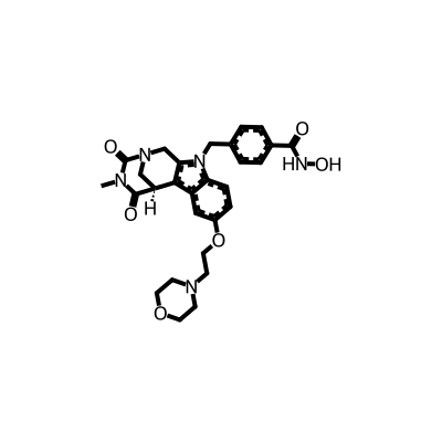 CN1C(=O)[C@H]2CN(Cc3c2c2cc(OCCN4CCOCC4)ccc2n3Cc2ccc(C(=O)NO)cc2)C1=O